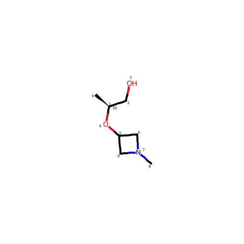 C[C@@H](CO)OC1CN(C)C1